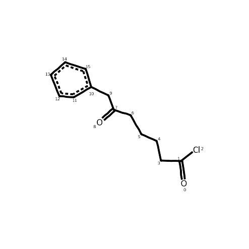 O=C(Cl)CCCCC(=O)Cc1ccccc1